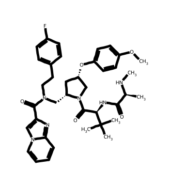 CN[C@@H](C)C(=O)N[C@H](C(=O)N1C[C@@H](Oc2ccc(OC)cc2)C[C@H]1CN(CCc1ccc(F)cc1)C(=O)c1cn2ccccc2n1)C(C)(C)C